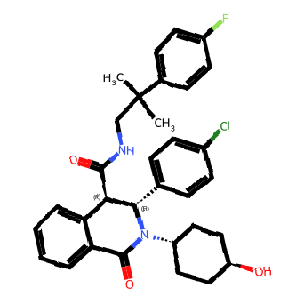 CC(C)(CNC(=O)[C@@H]1c2ccccc2C(=O)N([C@H]2CC[C@H](O)CC2)[C@H]1c1ccc(Cl)cc1)c1ccc(F)cc1